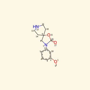 COc1cccc(N2CC3(CCNCC3)OC2=O)c1